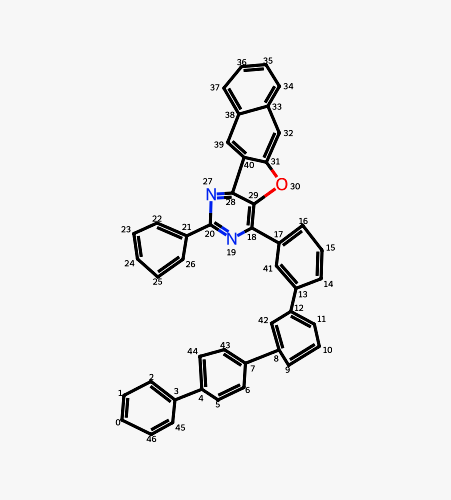 c1ccc(-c2ccc(-c3cccc(-c4cccc(-c5nc(-c6ccccc6)nc6c5oc5cc7ccccc7cc56)c4)c3)cc2)cc1